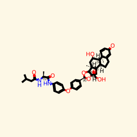 CC(C)CC(=O)N[C@@H](C)C(=O)Nc1ccc(Oc2ccc([C@@H]3O[C@@H]4C[C@H]5[C@@H]6CCC7=CC(=O)C=C[C@]7(C)[C@H]6[C@@H](O)C[C@]5(C)[C@]4(C(=O)CO)O3)cc2)cc1